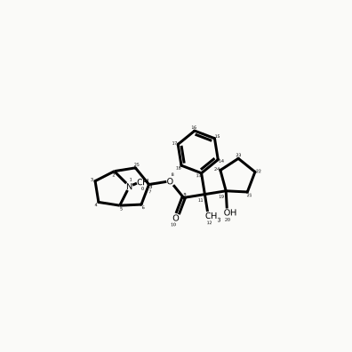 CN1C2CCC1CC(OC(=O)C(C)(c1ccccc1)C1(O)CCCC1)C2